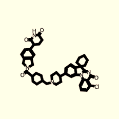 O=C1CCC(c2ccc3c(c2)CN(C(=O)C2CCC(CN4CCC(c5ccc6c(c5)-n5c(nc(=O)c7c(Cl)cccc75)C65CCCCC5)CC4)CC2)C3)C(=O)N1